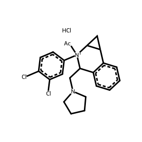 CC(=O)[N+]1(c2ccc(Cl)c(Cl)c2)C(CN2CCCC2)c2ccccc2C2CC21.Cl